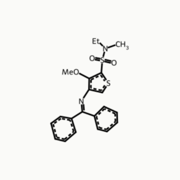 CCN(C)S(=O)(=O)c1scc(N=C(c2ccccc2)c2ccccc2)c1OC